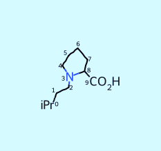 CC(C)CCN1CCCCC1C(=O)O